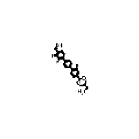 B=Cc1ccc(-c2ccc(-c3ccc(C4OCC(C=C)CO4)cc3F)cc2)c(F)c1F